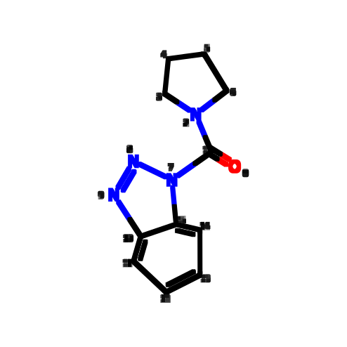 O=C(N1CCCC1)n1nnc2ccccc21